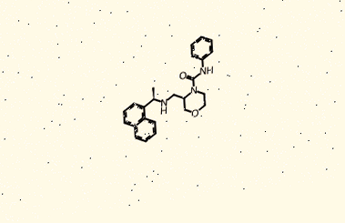 C[C@@H](NCC1COCCN1C(=O)Nc1ccccc1)c1cccc2ccccc12